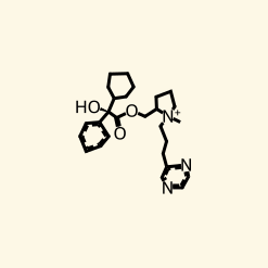 C[N+]1(CCCc2cnccn2)CCCC1COC(=O)[C@](O)(c1ccccc1)C1CCCCC1